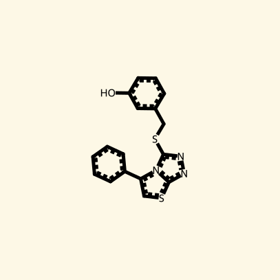 Oc1cccc(CSc2nnc3scc(-c4ccccc4)n23)c1